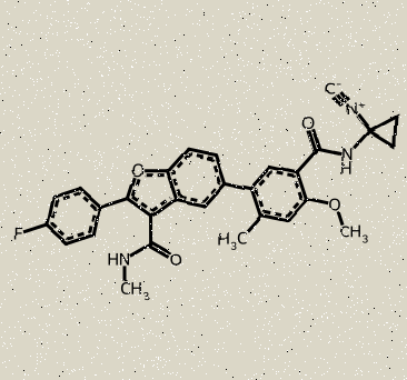 [C-]#[N+]C1(NC(=O)c2cc(-c3ccc4oc(-c5ccc(F)cc5)c(C(=O)NC)c4c3)c(C)cc2OC)CC1